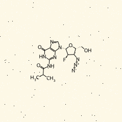 CC(C)C(=O)Nc1nc2c(ncn2[C@@H]2O[C@H](CO)C(N=[N+]=[N-])[C@H]2F)c(=O)[nH]1